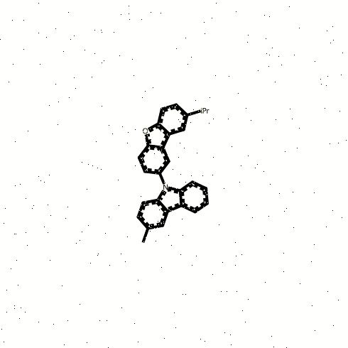 Cc1ccc2c(c1)c1ccccc1n2-c1ccc2oc3ccc(C(C)C)cc3c2c1